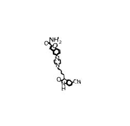 N#Cc1ccc2c(c1)C(CCCCN1CCN(c3ccc4oc(C(N)=O)cc4c3)CC1)C(=O)N2